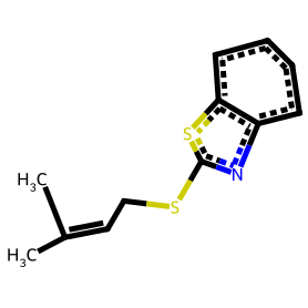 CC(C)=CCSc1nc2ccccc2s1